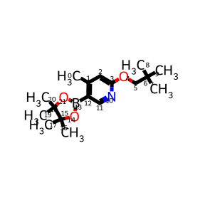 Cc1cc(OCC(C)(C)C)ncc1B1OC(C)(C)C(C)(C)O1